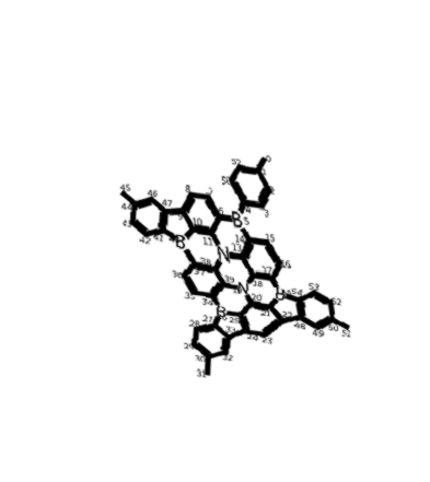 Cc1ccc(B2c3ccc4c5c3N3c6c2ccc2c6N6c7c8c(cc9c7B(c7ccc(C)cc7-9)c7ccc(c3c76)B5c3ccc(C)cc3-4)-c3cc(C)ccc3B28)cc1